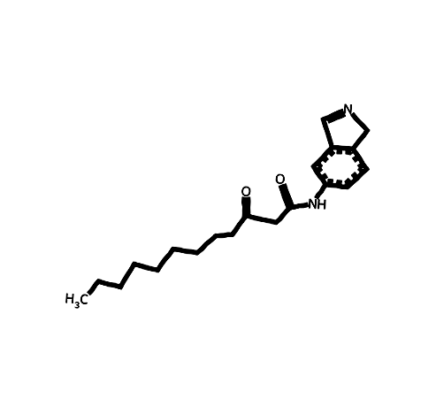 CCCCCCCCCC(=O)CC(=O)Nc1ccc2c(c1)C=NC2